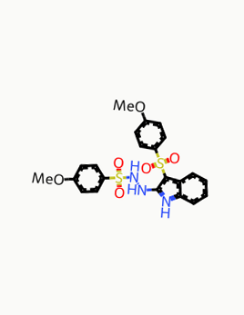 COc1ccc(S(=O)(=O)NNc2[nH]c3ccccc3c2S(=O)(=O)c2ccc(OC)cc2)cc1